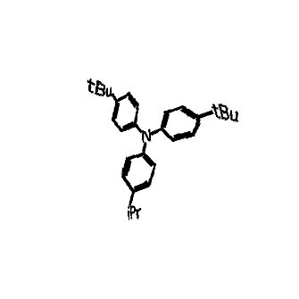 CC(C)c1ccc(N(c2ccc(C(C)(C)C)cc2)c2ccc(C(C)(C)C)cc2)cc1